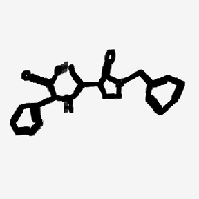 CC(NC(C(=O)O)c1ccccc1)C1CCN(Cc2ccccc2)C1=O